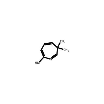 CC1(C)C=CC=C(C(C)(C)C)N=C1